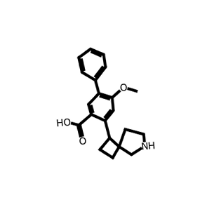 COc1cc(C2CCC23CCNC3)c(C(=O)O)cc1-c1ccccc1